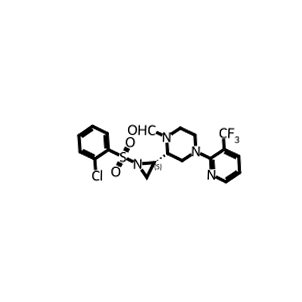 O=CN1CCN(c2ncccc2C(F)(F)F)CC1[C@@H]1CN1S(=O)(=O)c1ccccc1Cl